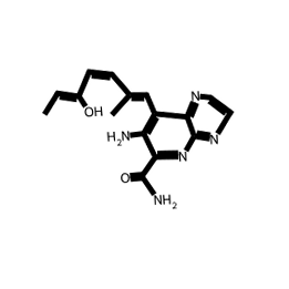 C/C=C(O)/C=C\C(C)=C\c1c(N)c(C(N)=O)nc2nccnc12